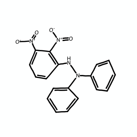 O=[N+]([O-])c1cccc(NN(c2ccccc2)c2ccccc2)c1[N+](=O)[O-]